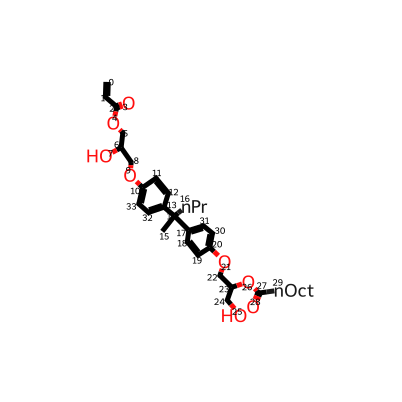 C=CC(=O)OCC(O)COc1ccc(C(C)(CCC)c2ccc(OCC(CO)OC(=O)CCCCCCCC)cc2)cc1